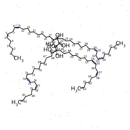 CCCCC/C=C\C/C=C\CCCCCCCCC(O)[C@](O)(CCCCCCCC/C=C\C/C=C\CCCCC)[C@@H](O)[C@H](O)[C@@](O)(CCCCCCCC/C=C\C/C=C\CCCCC)C(O)CCCCCCCC/C=C\C/C=C\CCCCC